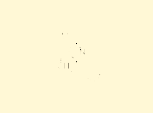 C=C1CCC(=O)c2nnn(Cc3ccccc3)c21